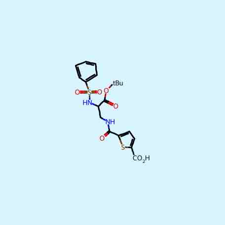 CC(C)(C)OC(=O)C(CNC(=O)c1ccc(C(=O)O)s1)NS(=O)(=O)c1ccccc1